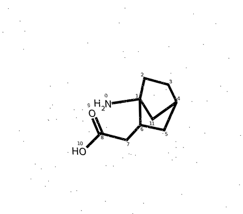 NC12CCC(CC1CC(=O)O)C2